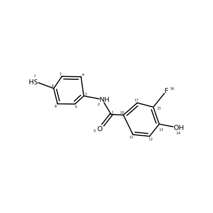 O=C(Nc1ccc(S)cc1)c1ccc(O)c(F)c1